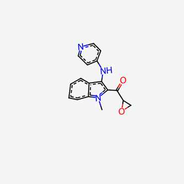 Cn1c(C(=O)C2CO2)c(Nc2ccncc2)c2ccccc21